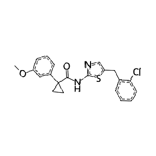 COc1cccc(C2(C(=O)Nc3ncc(Cc4ccccc4Cl)s3)CC2)c1